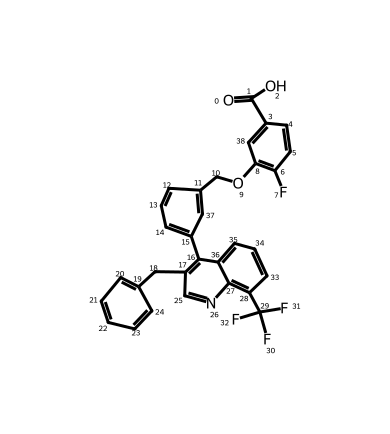 O=C(O)c1ccc(F)c(OCc2cccc(-c3c(Cc4ccccc4)cnc4c(C(F)(F)F)cccc34)c2)c1